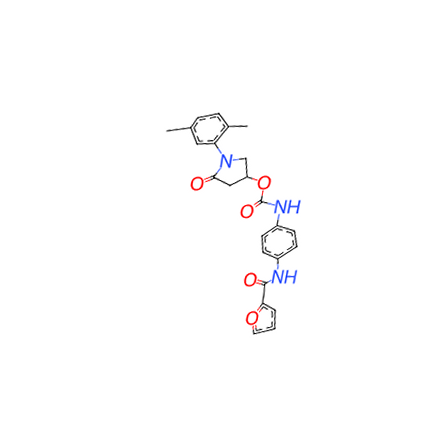 Cc1ccc(C)c(N2CC(OC(=O)Nc3ccc(NC(=O)c4ccco4)cc3)CC2=O)c1